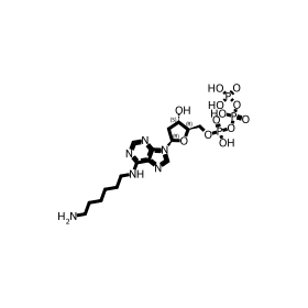 NCCCCCCNc1ncnc2c1ncn2[C@H]1C[C@H](O)[C@@H](COP(=O)(O)OP(=O)(O)OP(=O)(O)O)O1